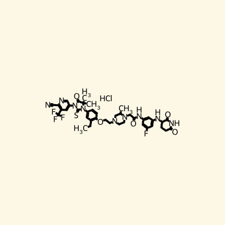 CCc1cc(N2C(=S)N(c3cnc(C#N)c(C(F)(F)F)c3)C(=O)C2(C)C)ccc1OCCN1CCN(CC(=O)Nc2cc(F)cc(NC3CCC(=O)NC3=O)c2)C(C)C1.Cl